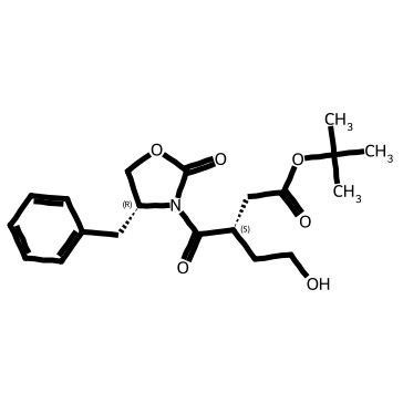 CC(C)(C)OC(=O)C[C@H](CCO)C(=O)N1C(=O)OC[C@H]1Cc1ccccc1